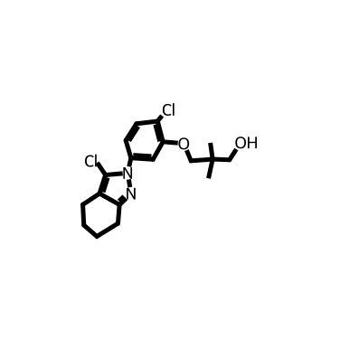 CC(C)(CO)COc1cc(-n2nc3c(c2Cl)CCCC3)ccc1Cl